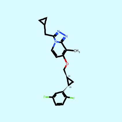 Cc1c(OC[C@H]2C[C@@H]2c2cc(F)ccc2F)ccn2c(CC3CC3)nnc12